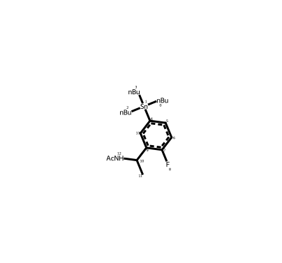 CCC[CH2][Sn]([CH2]CCC)([CH2]CCC)[c]1ccc(F)c(C(C)NC(C)=O)c1